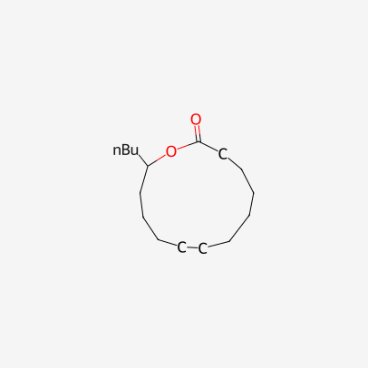 CCCCC1CCCCCCCCCCC(=O)O1